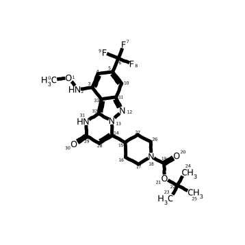 CONc1cc(C(F)(F)F)cc2nn3c(C4CCN(C(=O)OC(C)(C)C)CC4)cc(=O)[nH]c3c12